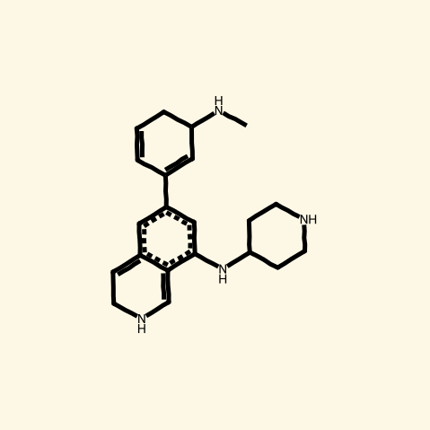 CNC1C=C(c2cc(NC3CCNCC3)c3c(c2)=CCNC=3)C=CC1